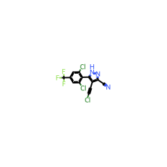 N#Cc1n[nH]c(-c2c(Cl)cc(C(F)(F)F)cc2Cl)c1C#CCl